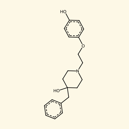 Oc1ccc(OCCN2CCC(O)(Cc3ccccc3)CC2)cc1